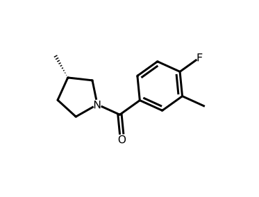 Cc1cc(C(=O)N2CC[C@H](C)C2)ccc1F